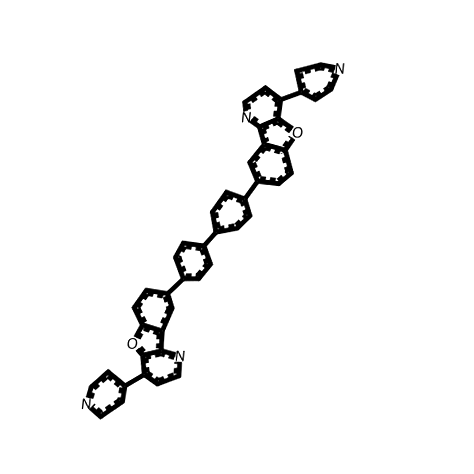 c1cc(-c2ccnc3c2oc2ccc(-c4ccc(-c5ccc(-c6ccc7oc8c(-c9ccncc9)ccnc8c7c6)cc5)cc4)cc23)ccn1